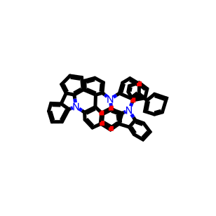 c1ccc(-c2cccc(N(c3ccccc3-c3c(-n4c5ccccc5c5ccccc54)ccc4ccccc34)c3cccc4c5ccccc5n(-c5ccccc5)c34)c2)cc1